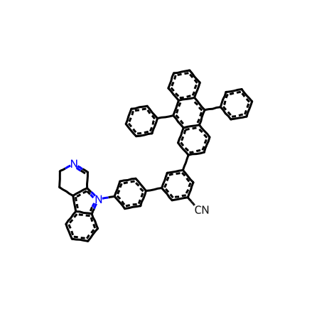 N#Cc1cc(-c2ccc(-n3c4c(c5ccccc53)CCN=C4)cc2)cc(-c2ccc3c(-c4ccccc4)c4ccccc4c(-c4ccccc4)c3c2)c1